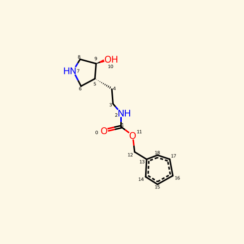 O=C(NCC[C@@H]1CNC[C@H]1O)OCc1ccccc1